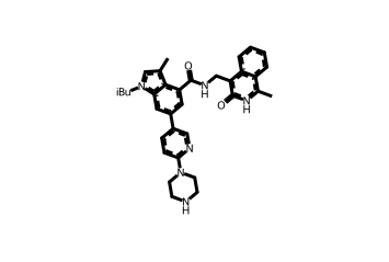 CCC(C)n1cc(C)c2c(C(=O)NCc3c(=O)[nH]c(C)c4ccccc34)cc(-c3ccc(N4CCNCC4)nc3)cc21